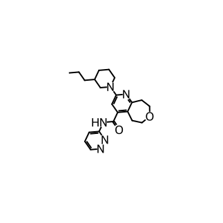 CCCC1CCCN(c2cc(C(=O)Nc3cccnn3)c3c(n2)CCOCC3)C1